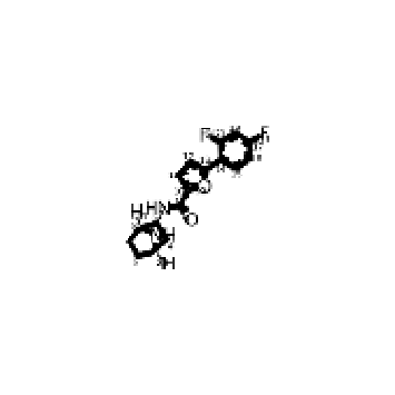 O=C(N[C@@H]1C[C@H]2CC[C@@H]1N2)c1ccc(-c2ccc(F)cc2F)o1